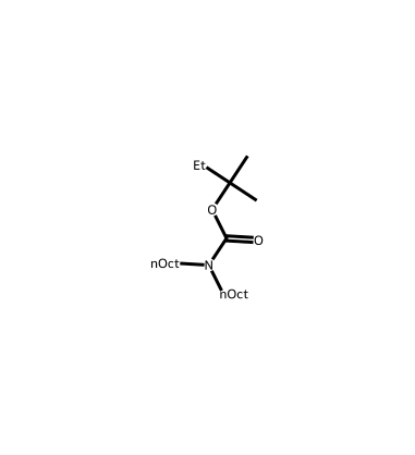 CCCCCCCCN(CCCCCCCC)C(=O)OC(C)(C)CC